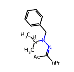 CCCC(=NN(Cc1ccccc1)[SiH](C)C)C(C)=O